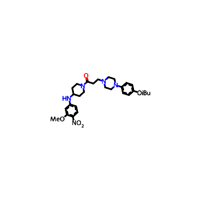 COc1cc(NC2CCN(C(=O)CCN3CCN(c4ccc(OCC(C)C)cc4)CC3)CC2)ccc1[N+](=O)[O-]